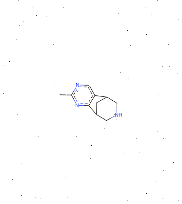 Cc1ncc2c(n1)C1CNCC2C1